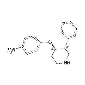 Nc1ccc(O[C@@H]2CCNC[C@H]2c2ccccc2)cc1